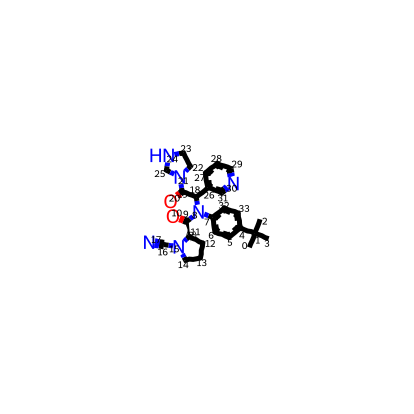 CC(C)(C)c1ccc(N(C(=O)[C@H]2CCCN2C#N)C(C(=O)N2CCNC2)c2cccnc2)cc1